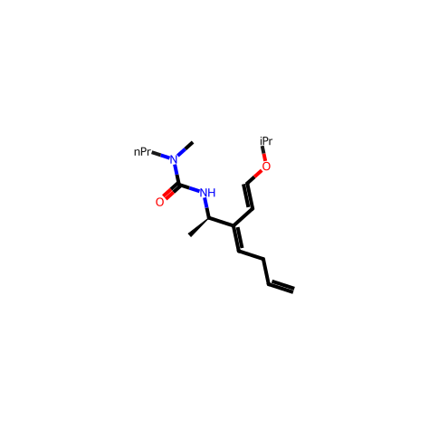 C=CC/C=C(\C=C\OC(C)C)[C@@H](C)NC(=O)N(C)CCC